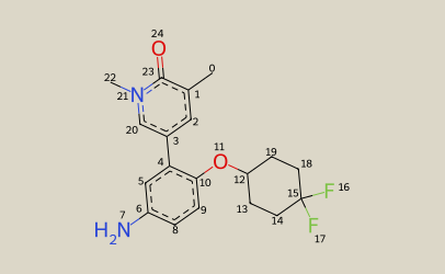 Cc1cc(-c2cc(N)ccc2OC2CCC(F)(F)CC2)cn(C)c1=O